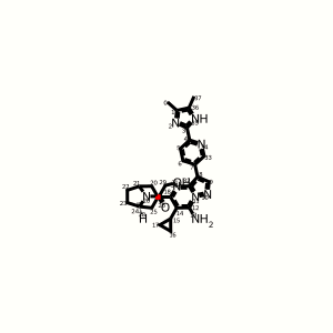 Cc1nc(-c2ccc(-c3cnn4c(N)c(C5CC5)c(C5CC6CC[C@H](C5)N6C(=O)CO)nc34)cn2)[nH]c1C